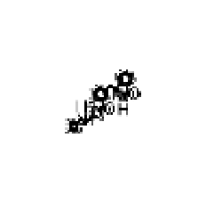 O=C(c1cc(Cc2n[nH]c(=O)c3ccccc23)ccc1F)N1CC(CNC2CCC2)C1